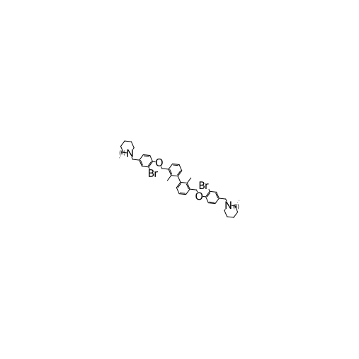 Cc1c(COc2ccc(CN3CCCC[C@H]3C)cc2Br)cccc1-c1cccc(COc2ccc(CN3CCCC[C@H]3C)cc2Br)c1C